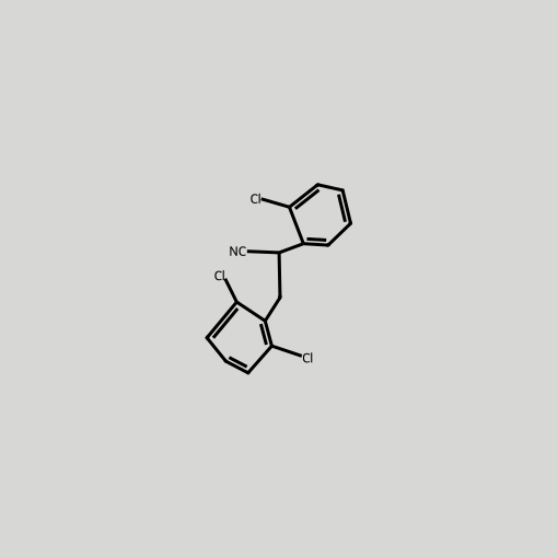 N#CC(Cc1c(Cl)cccc1Cl)c1ccccc1Cl